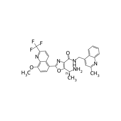 COc1ccc(-c2nc(C(=O)NCc3cc(C)nc4ccccc34)c([C@H](C)N)o2)c2ccc(C(F)(F)F)nc12